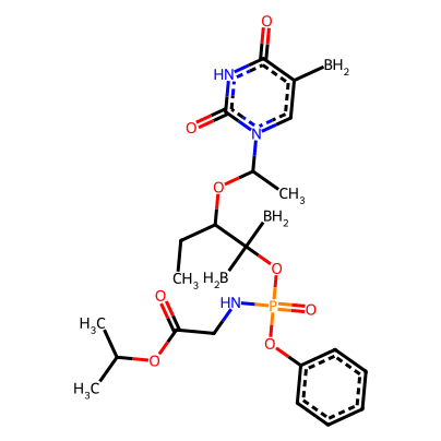 Bc1cn(C(C)OC(CC)C(B)(B)OP(=O)(NCC(=O)OC(C)C)Oc2ccccc2)c(=O)[nH]c1=O